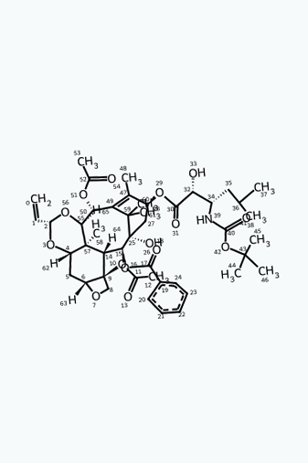 C=C[C@H]1O[C@H]2C[C@H]3OC[C@@]3(OC(C)=O)[C@H]3[C@H](OC(=O)c4ccccc4)[C@]4(O)C[C@H](OC(=O)[C@H](O)[C@H](CC(C)C)NC(=O)OC(C)(C)C)C(C)=C([C@@H](OC(C)=O)[C@H](O1)[C@]23C)C4(C)C